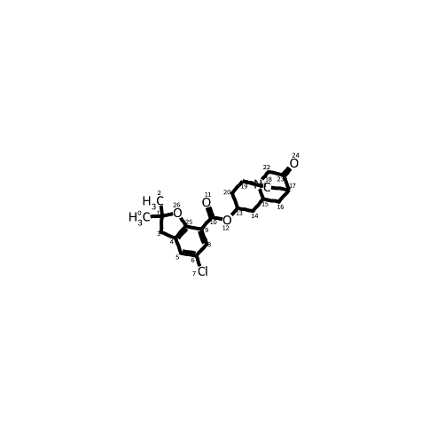 CC1(C)Cc2cc(Cl)cc(C(=O)OC3CC4CC5CC(C3)N4CC5=O)c2O1